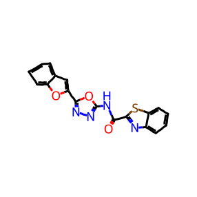 O=C(Nc1nnc(-c2cc3ccccc3o2)o1)c1nc2ccccc2s1